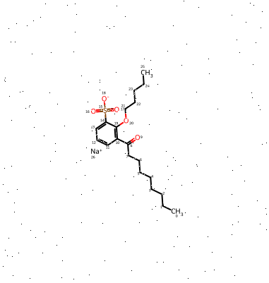 CCCCCCCCC(=O)c1cccc(S(=O)(=O)[O-])c1OCCCCC.[Na+]